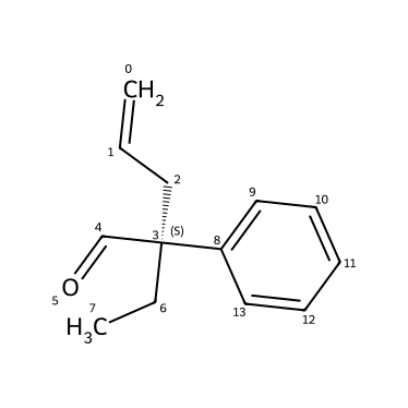 C=CC[C@@](C=O)(CC)c1ccccc1